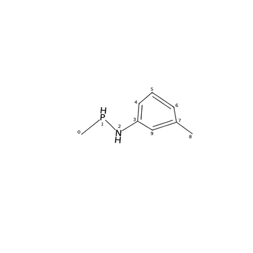 CPNc1cccc(C)c1